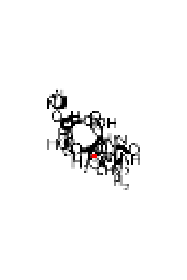 CC(C)(C)[Si](C)(C)OC1[C@@H]2COP(=O)(O)O[C@H]3C[C@H](Oc4ccncn4)C[C@@H]3COP(=O)(O)O[C@H]1[C@H](n1cnc3c(=O)[nH]c(N)nc31)O2